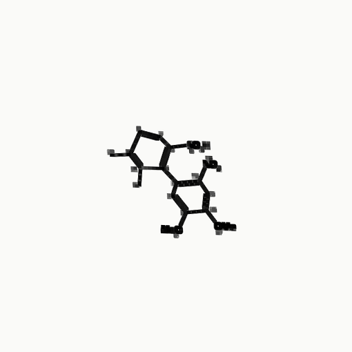 COc1cc(-c2c(S(=O)(=O)O)ccc(C)c2C)c([N+](=O)[O-])cc1OC